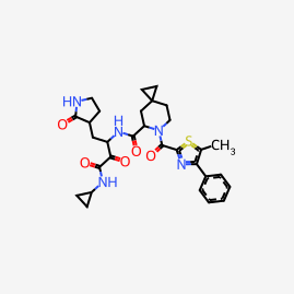 Cc1sc(C(=O)N2CCC3(CC3)CC2C(=O)NC(CC2CCNC2=O)C(=O)C(=O)NC2CC2)nc1-c1ccccc1